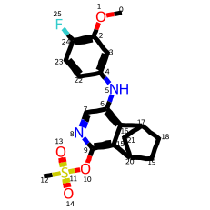 COc1cc(Nc2cnc(OS(C)(=O)=O)c3c2C2CCC3C2)ccc1F